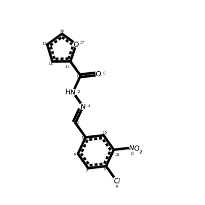 O=C(NN=Cc1ccc(Cl)c([N+](=O)[O-])c1)c1ccco1